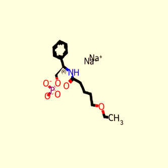 CCOCCCCC(=O)N[C@@H](COP(=O)([O-])[O-])c1ccccc1.[Na+].[Na+]